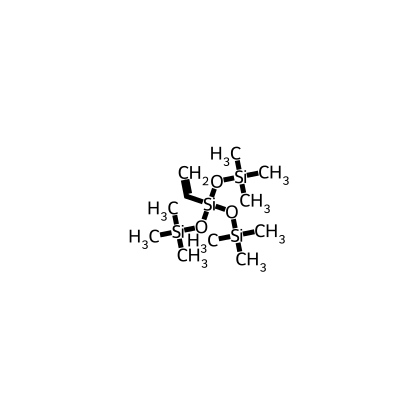 C=C[Si](O[Si](C)(C)C)(O[Si](C)(C)C)O[Si](C)(C)C